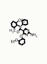 CCOc1ccccc1Oc1nc(N)ncc1C(=O)N(c1ccccc1)c1c(C)cccc1C